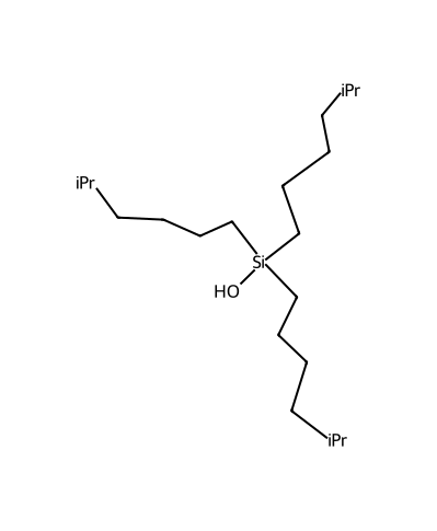 CC(C)CCCC[Si](O)(CCCCC(C)C)CCCCC(C)C